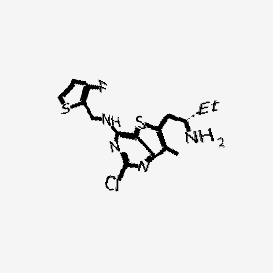 CC[C@H](N)Cc1sc2c(NCc3sccc3F)nc(Cl)nc2c1C